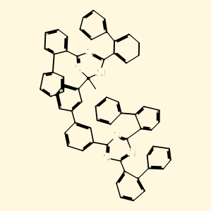 CC1(c2cccc(-c3cccc(-c4nc(-c5ccccc5-c5ccccc5)nc(-c5ccccc5-c5ccccc5)n4)c3)c2)N=C(c2ccccc2-c2ccccc2)N=C(C2=CCCC=C2c2ccccc2)N1